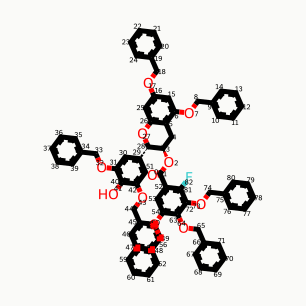 O=C(O[C@@H]1Cc2c(OCc3ccccc3)cc(OCc3ccccc3)cc2O[C@H]1c1cc(OCc2ccccc2)c(O)c(OCc2ccccc2)c1)c1cc(OCc2ccccc2)c(OCc2ccccc2)c(OCc2ccccc2)c1F